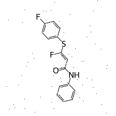 O=C(C=C(F)Sc1ccc(F)cc1)Nc1ccccc1